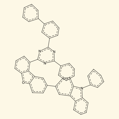 c1ccc(-c2cccc(-c3nc(-c4ccccc4)nc(-c4cccc5oc6ccc(-c7ccc8c(c7)c7ccccc7n8-c7ccccc7)cc6c45)n3)c2)cc1